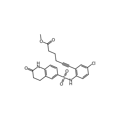 COC(=O)CCCC#Cc1cc(Cl)ccc1NS(=O)(=O)c1ccc2c(c1)CCC(=O)N2